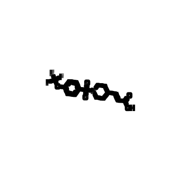 O=C(O)/C=C/C1CCN(S(=O)(=O)c2ccc(OC(F)(F)F)cc2)CC1